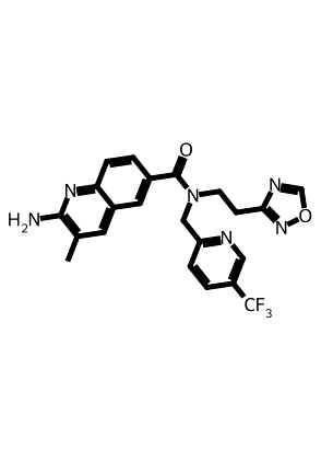 Cc1cc2cc(C(=O)N(CCc3ncon3)Cc3ccc(C(F)(F)F)cn3)ccc2nc1N